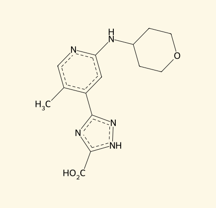 Cc1cnc(NC2CCOCC2)cc1-c1n[nH]c(C(=O)O)n1